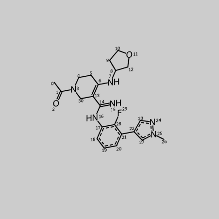 CC(=O)N1CCC(NC2CCOC2)=C(C(=N)Nc2cccc(-c3cnn(C)c3)c2F)C1